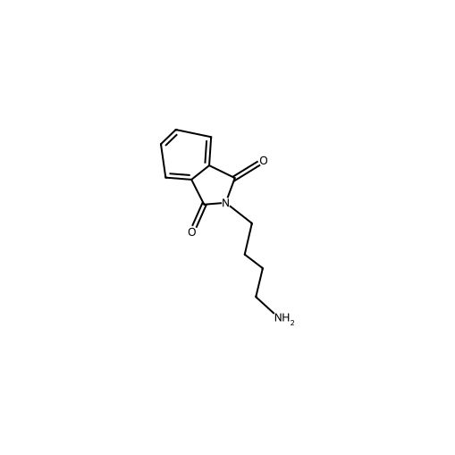 NCCCCN1C(=O)c2ccccc2C1=O